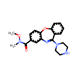 CON(C)C(=O)c1ccc2c(c1)N=C(N1CCNCC1)c1ccccc1O2